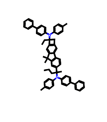 CCCC(C)(c1ccc2c(c1)C(C)(C)c1cc3c(cc1-2)CC3(CC)N(c1ccc(C)cc1)c1ccc(-c2ccccc2)cc1)N(c1ccc(C)cc1)c1ccc(-c2ccccc2)cc1